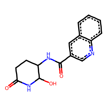 O=C1CCC(NC(=O)c2cnc3ccccc3c2)C(O)N1